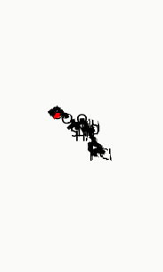 O=C(NCc1ccc(F)c(Cl)c1)c1nc2scc(COCC3CC4CCC3O4)c2c(=O)[nH]1